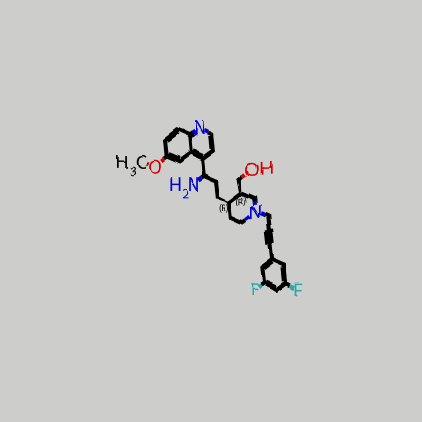 COc1ccc2nccc(C(N)CC[C@@H]3CCN(CC#Cc4cc(F)cc(F)c4)C[C@@H]3CO)c2c1